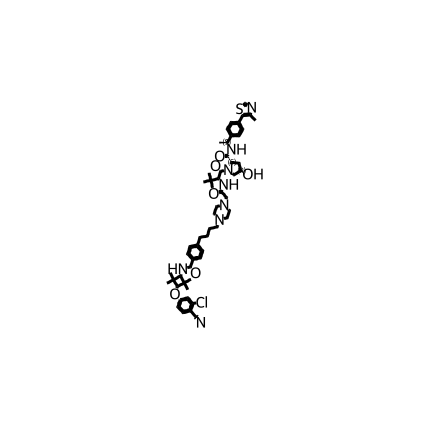 Cc1ncsc1-c1ccc([C@H](C)NC(=O)[C@@H]2C[C@@H](O)CN2C(=O)C(NC(=O)CN2CCN(CCCCc3ccc(C(=O)NC4C(C)(C)C(Oc5ccc(C#N)c(Cl)c5)C4(C)C)cc3)CC2)C(C)(C)C)cc1